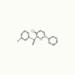 C=C(c1cccc(I)c1)c1nn(-c2ccccc2)ccc1=O